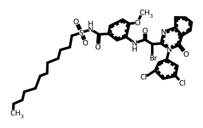 CCCCCCCCCCCCS(=O)(=O)NC(=O)c1ccc(OC)c(NC(=O)C(Br)c2nc3ccccc3c(=O)n2-c2cc(Cl)cc(Cl)c2)c1